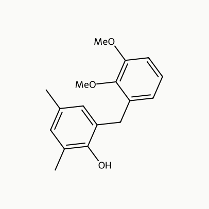 COc1cccc(Cc2cc(C)cc(C)c2O)c1OC